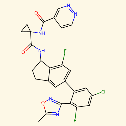 Cc1nc(-c2c(F)cc(Cl)cc2-c2cc(F)c3c(c2)CCC3NC(=O)C2(NC(=O)c3ccnnc3)CC2)no1